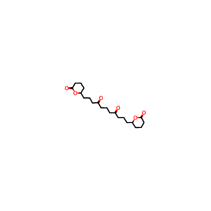 O=C(CCCC(=O)CCCC1CCCC(=O)O1)CCCC1CCCC(=O)O1